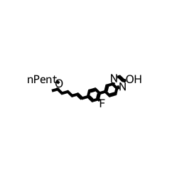 CCCCCOC(C)CCCC=Cc1ccc(-c2ccc3nc(O)cnc3c2)c(F)c1